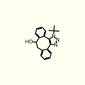 CC(C)(C)n1nnc2c1-c1ccccc1C(O)Cc1ccccc1-2